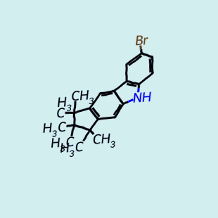 CC1(C)c2cc3[nH]c4ccc(Br)cc4c3cc2C(C)(C)C1(C)C